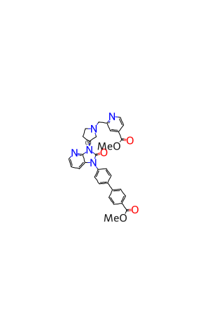 COC(=O)c1ccc(-c2ccc(-n3c(=O)n([C@H]4CCN(Cc5cc(C(=O)OC)ccn5)C4)c4ncccc43)cc2)cc1